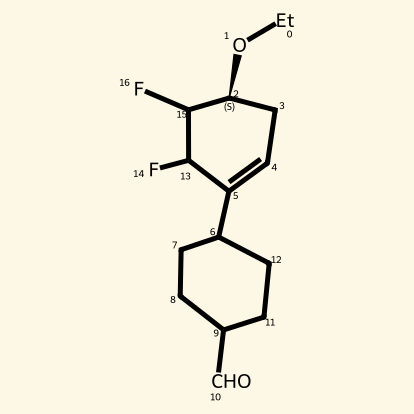 CCO[C@H]1CC=C(C2CCC(C=O)CC2)C(F)C1F